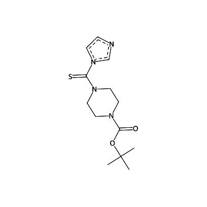 CC(C)(C)OC(=O)N1CCN(C(=S)n2ccnc2)CC1